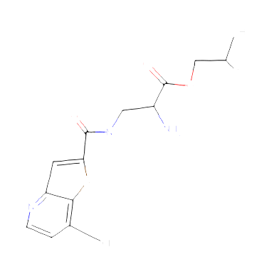 Cc1ccnc2cc(C(=O)NCC(N)C(=O)OCC(C)C)sc12